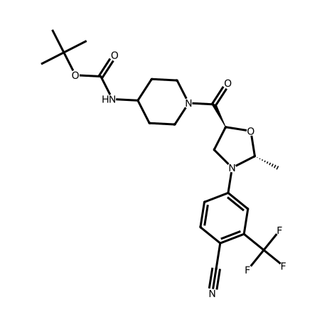 C[C@H]1O[C@H](C(=O)N2CCC(NC(=O)OC(C)(C)C)CC2)CN1c1ccc(C#N)c(C(F)(F)F)c1